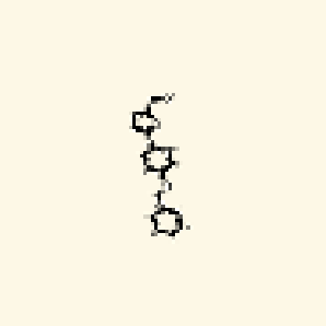 O=Cc1ccc(-c2ccc(OCc3ccccc3)cn2)o1